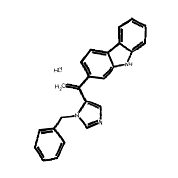 C=C(c1ccc2c(c1)[nH]c1ccccc12)c1cncn1Cc1ccccc1.Cl